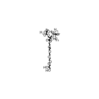 CC(C)(Br)C(=O)OCC(C)(COC(=O)C(C)(C)Br)C(=O)OCCOCCOCCOCCOOCC(O)CO